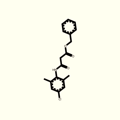 Cc1cc(Cl)cc(C)c1NC(=O)CC(=O)OCc1ccccc1